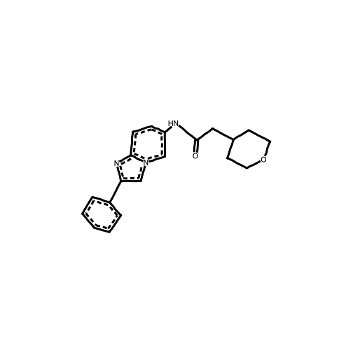 O=C(CC1CCOCC1)Nc1ccc2nc(-c3ccccc3)cn2c1